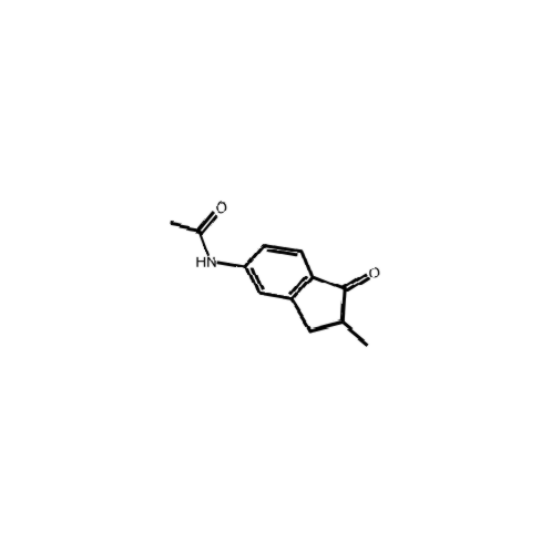 CC(=O)Nc1ccc2c(c1)CC(C)C2=O